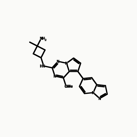 COc1nc(NC2CC(C)(N)C2)nn2ccc(-c3ccn4nccc4c3)c12